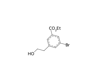 CCOC(=O)c1cc(Br)cc(CCO)c1